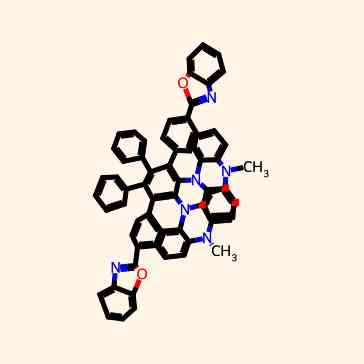 CN1c2ccccc2N(c2c(-c3ccc(-c4nc5ccccc5o4)cc3)c(-c3ccccc3)c(-c3ccccc3)c(-c3ccc(-c4nc5ccccc5o4)cc3)c2N2c3ccccc3N(C)c3ccccc32)c2ccccc21